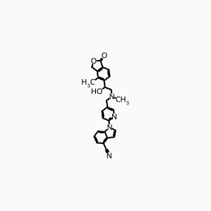 Cc1c(C(O)CN(C)Cc2ccc(-n3ccc4c(C#N)cccc43)nc2)ccc2c1COC2=O